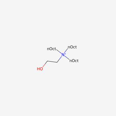 CCCCCCCC[N+](CCO)(CCCCCCCC)CCCCCCCC